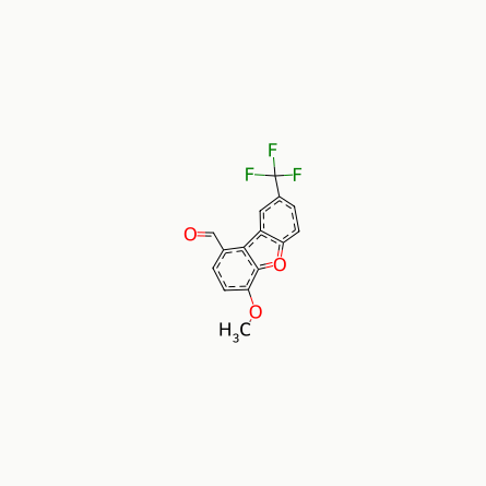 COc1ccc(C=O)c2c1oc1ccc(C(F)(F)F)cc12